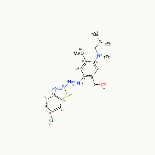 CCCCC(CC)CN(CC)c1cc(CO)c(/N=N/c2nc3ccc(Cl)cc3s2)cc1OC